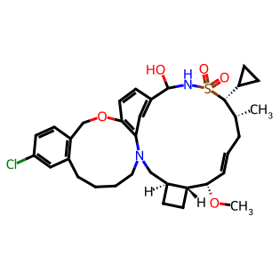 CO[C@H]1/C=C/C[C@@H](C)[C@@H](C2CC2)S(=O)(=O)NC(O)c2ccc3c(c2)N(CCCCc2cc(Cl)ccc2CO3)C[C@@H]2CC[C@H]21